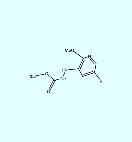 COc1ncc(F)cc1NNC(=O)OC(C)(C)C